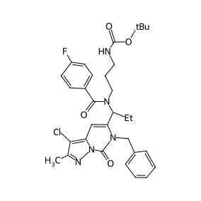 CCC(c1cc2c(Cl)c(C)nn2c(=O)n1Cc1ccccc1)N(CCCNC(=O)OC(C)(C)C)C(=O)c1ccc(F)cc1